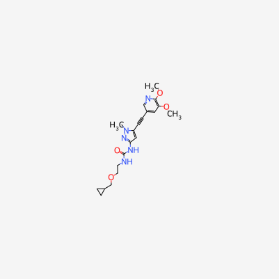 COc1cc(C#Cc2cc(NC(=O)NCCOCC3CC3)nn2C)cnc1OC